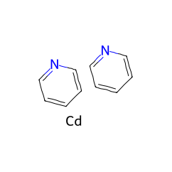 [Cd].c1ccncc1.c1ccncc1